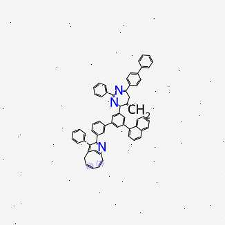 C=C1CC(c2ccc(-c3ccccc3)cc2)=NC(c2ccccc2)=NC1c1cc(-c2cccc(-c3nc4cc(c3-c3ccccc3)C/C=C\C=C/4)c2)cc(-c2cccc3ccccc23)c1